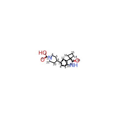 O=C(O)N1CCC(c2ccc3c(c2)C2(CCC2)C(=O)N3)CC1